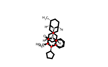 C[C@H]1[C@H]2C[C@H](C[C@H](N3[C@H]4CC[C@@H](C)[C@@H]3C[C@H](n3c(=O)c(C(=O)O)nc5ccccc53)C4)C2)C[C@H]1C1CCCC1